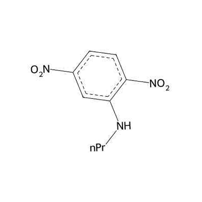 CCCNc1cc([N+](=O)[O-])ccc1[N+](=O)[O-]